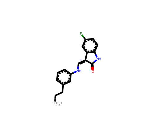 O=C(O)CCc1cccc(N/C=C2\C(=O)Nc3ccc(F)cc32)c1